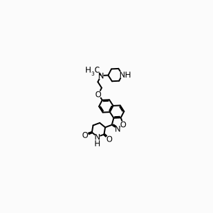 CN(CCOc1ccc2c(ccc3onc(C4CCC(=O)NC4=O)c32)c1)C1CCNCC1